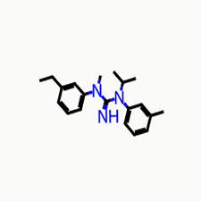 CCc1cccc(N(C)C(=N)N(c2cccc(C)c2)C(C)C)c1